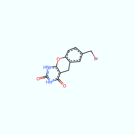 O=c1[nH]c2c(c(=O)[nH]1)Cc1cc(CBr)ccc1O2